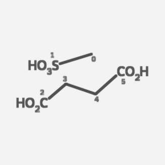 CS(=O)(=O)O.O=C(O)CCC(=O)O